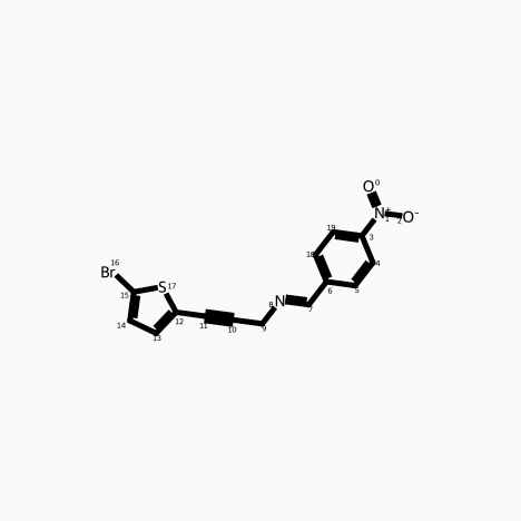 O=[N+]([O-])c1ccc(C=NCC#Cc2ccc(Br)s2)cc1